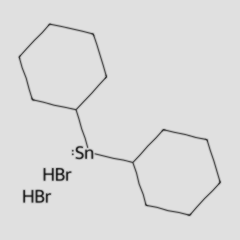 Br.Br.C1CC[CH]([Sn][CH]2CCCCC2)CC1